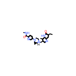 CCc1cc2ncc(CN3CCN(c4ccc(C(=O)NC)nc4)C4=C[C@H]43)c(C)c2[nH]c1=O